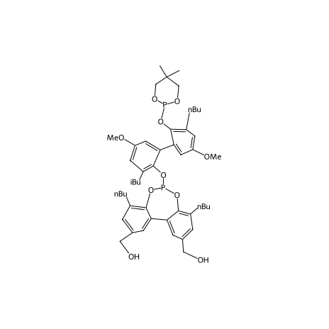 CCCCc1cc(OC)cc(-c2cc(OC)cc(C(C)CC)c2Op2oc3c(CCCC)cc(CO)cc3c3cc(CO)cc(CCCC)c3o2)c1OP1OCC(C)(C)CO1